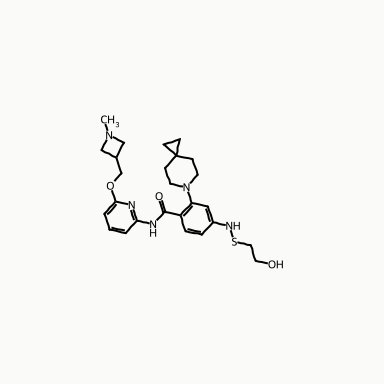 CN1CC(COc2cccc(NC(=O)c3ccc(NSCCO)cc3N3CCC4(CC3)CC4)n2)C1